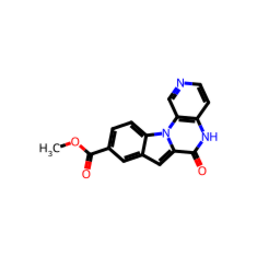 COC(=O)c1ccc2c(c1)cc1c(=O)[nH]c3ccncc3n12